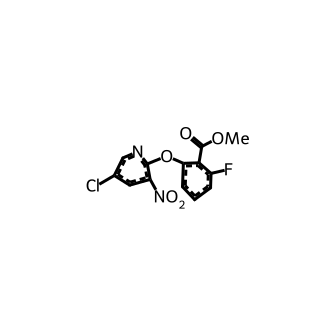 COC(=O)c1c(F)cccc1Oc1ncc(Cl)cc1[N+](=O)[O-]